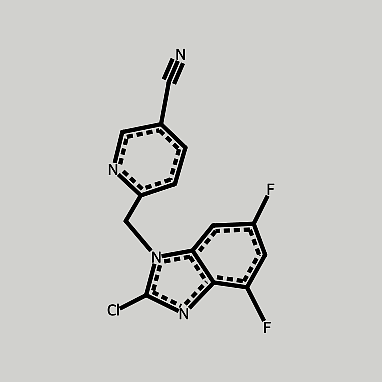 N#Cc1ccc(Cn2c(Cl)nc3c(F)cc(F)cc32)nc1